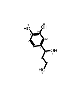 OCCC(O)c1ccc(O)c(O)c1